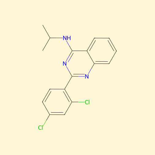 CC(C)Nc1nc(-c2ccc(Cl)cc2Cl)nc2ccccc12